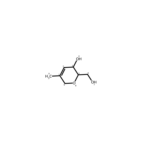 CC1=CC(O)C(CO)OC1